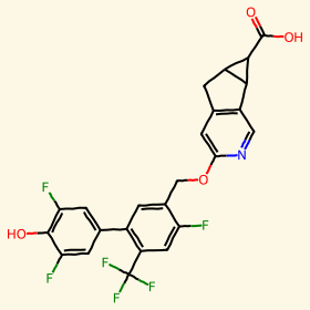 O=C(O)C1C2Cc3cc(OCc4cc(-c5cc(F)c(O)c(F)c5)c(C(F)(F)F)cc4F)ncc3C21